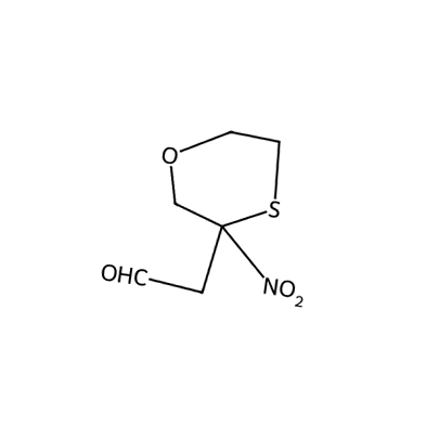 O=CCC1([N+](=O)[O-])COCCS1